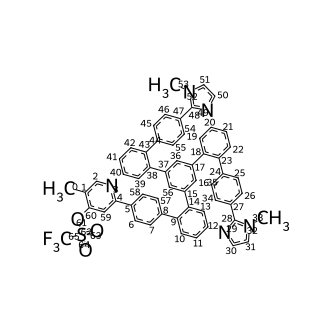 Cc1cnc(-c2ccc(-c3ccccc3-c3cc(-c4ccccc4-c4ccc(-c5nccn5C)cc4)cc(-c4ccccc4-c4ccc(-c5nccn5C)cc4)c3)cc2)cc1OS(=O)(=O)C(F)(F)F